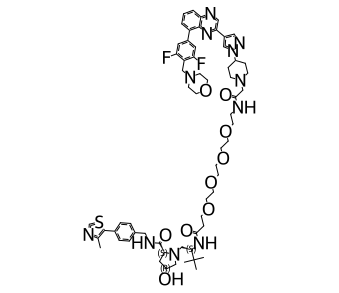 Cc1ncsc1-c1ccc(CNC(=O)[C@@H]2C[C@@H](O)CN2C[C@@H](NC(=O)CCOCCOCCOCCOCCNC(=O)CN2CCC(n3cc(-c4cnc5cccc(-c6cc(F)c(CN7CCOCC7)c(F)c6)c5n4)cn3)CC2)C(C)(C)C)cc1